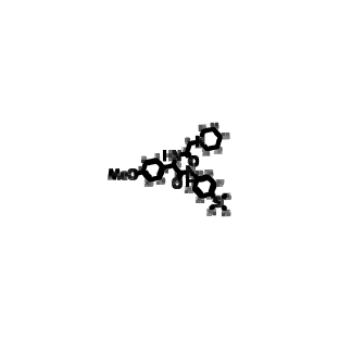 COc1ccc(C(NC(=O)CN2CCCCC2)C(=O)Nc2ccc([Si](C)(C)C)cc2)cc1